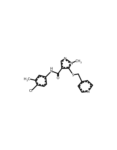 Cc1cc(NC(=O)c2cnn(C)c2SCc2ccncc2)ccc1Cl